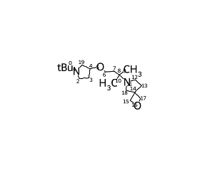 CC(C)(C)N1CCC(OCCC(C)(C)N2CCC3(COC3)C2)C1